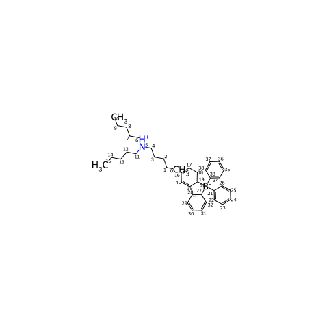 CCCCC[NH+](CCCCC)CCCCC.c1ccc([B-](c2ccccc2)(c2ccccc2)c2ccccc2)cc1